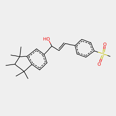 CC1C(C)(C)c2ccc(C(O)C=Cc3ccc(S(C)(=O)=O)cc3)cc2C1(C)C